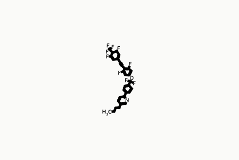 CCCCc1ccc(-c2ccc(C(F)(F)Oc3cc(F)c(C#CC4=CC(F)C(C(F)(F)F)C(F)=C4)c(F)c3)cc2)nc1